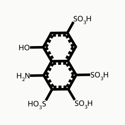 Nc1c(S(=O)(=O)O)c(S(=O)(=O)O)c(S(=O)(=O)O)c2cc(S(=O)(=O)O)cc(O)c12